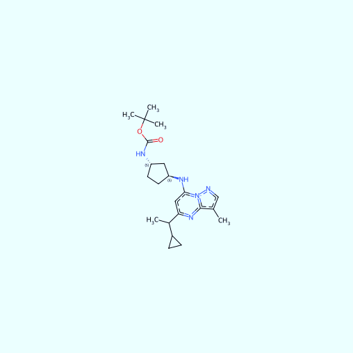 Cc1cnn2c(N[C@H]3CC[C@H](NC(=O)OC(C)(C)C)C3)cc(C(C)C3CC3)nc12